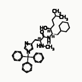 CN[C@@H](Cc1cn(C(c2ccccc2)(c2ccccc2)c2ccccc2)cn1)C(=O)N[C@@H](CC1CCCCC1)[C@@H](O)CCC(C)C